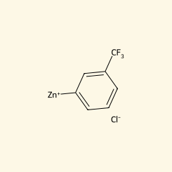 FC(F)(F)c1ccc[c]([Zn+])c1.[Cl-]